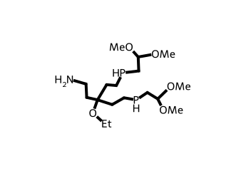 CCOC(CCN)(CCPCC(OC)OC)CCPCC(OC)OC